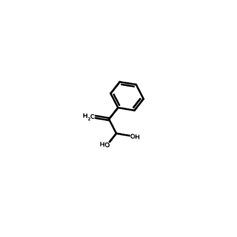 C=C(c1ccccc1)C(O)O